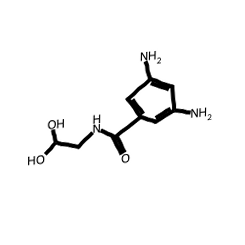 Nc1cc(N)cc(C(=O)NCC(O)O)c1